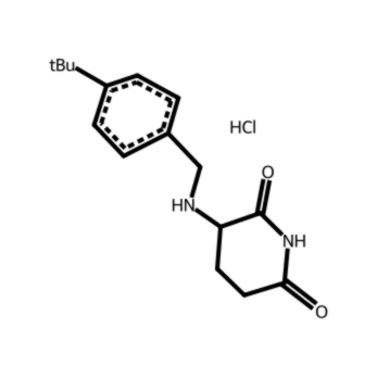 CC(C)(C)c1ccc(CNC2CCC(=O)NC2=O)cc1.Cl